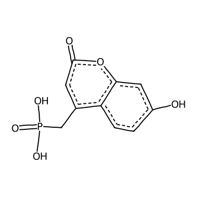 O=c1cc(CP(=O)(O)O)c2ccc(O)cc2o1